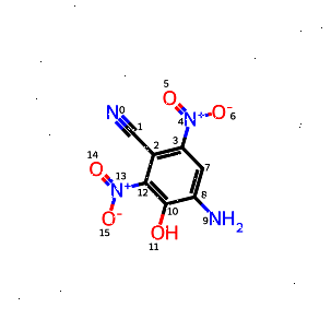 N#Cc1c([N+](=O)[O-])cc(N)c(O)c1[N+](=O)[O-]